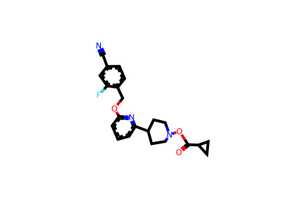 N#Cc1ccc(COc2cccc(C3CCN(OC(=O)C4CC4)CC3)n2)c(F)c1